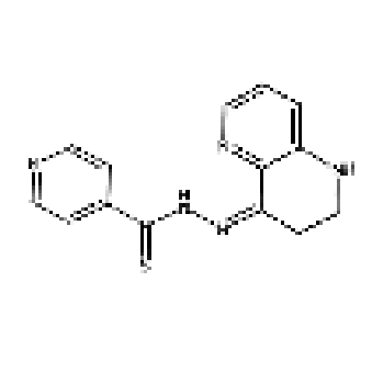 S=C(N/N=C1/CCNc2cccnc21)c1ccncc1